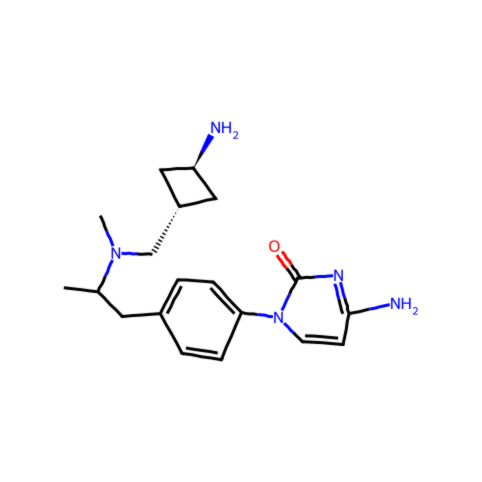 CC(Cc1ccc(-n2ccc(N)nc2=O)cc1)N(C)C[C@H]1C[C@H](N)C1